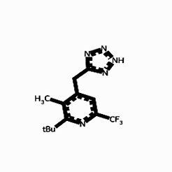 Cc1c(Cc2nn[nH]n2)cc(C(F)(F)F)nc1C(C)(C)C